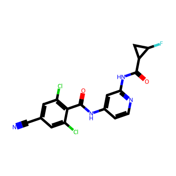 N#Cc1cc(Cl)c(C(=O)Nc2ccnc(NC(=O)C3CC3F)c2)c(Cl)c1